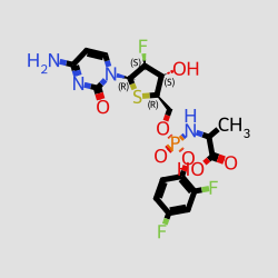 CC(NP(=O)(OC[C@H]1S[C@@H](n2ccc(N)nc2=O)[C@@H](F)[C@@H]1O)Oc1ccc(F)cc1F)C(=O)O